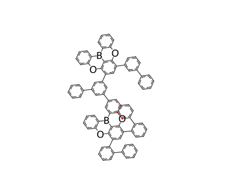 c1ccc(-c2cccc(-c3cc(-c4cc(-c5ccccc5)cc(-c5ccc6c(c5)B5c7ccccc7Oc7c(-c8ccccc8-c8ccccc8)cc(-c8ccccc8-c8ccccc8)c(c75)O6)c4)c4c5c3Oc3ccccc3B5c3ccccc3O4)c2)cc1